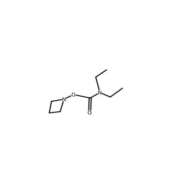 CCN(CC)C(=O)ON1CCC1